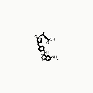 CC(C#CC(=O)O)Cn1ccc(Cc2ccc(Nc3ncnc4ccc(N)cc34)cc2)cc1=O